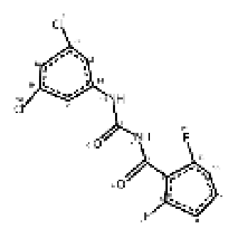 O=C(NC(=O)c1c(F)cccc1F)Nc1cc(Cl)cc(Cl)c1